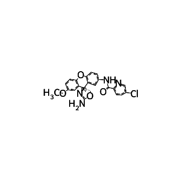 COc1ccc2c(c1)[C@@]1(COC(N)=N1)c1cc(NC(=O)c3ccc(Cl)cn3)ccc1O2